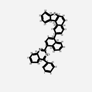 c1ccc(-c2nc(-c3ccc(-c4ccc5ccc6sc7ccccc7c6c5c4)c4ccccc34)nc3ccccc23)cc1